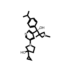 CC(C)c1ccc([C@](O)(c2cncc(N3CCC(O)(C4CC4)C3)c2)C2(C)CN(C)C2)cc1